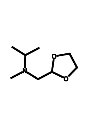 CC(C)N(C)CC1OCCO1